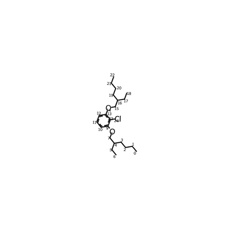 CCCCC(CC)COc1cccc(OCC(CC)CCCC)c1Cl